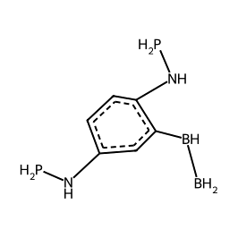 BBc1cc(NP)ccc1NP